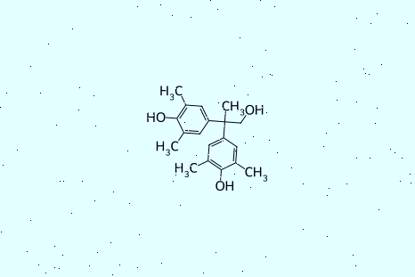 Cc1cc(C(C)(CO)c2cc(C)c(O)c(C)c2)cc(C)c1O